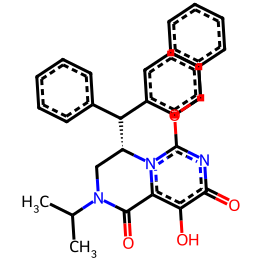 CC(C)N1C[C@H](C(c2ccccc2)c2ccccc2)n2c(OCc3ccccc3)nc(=O)c(O)c2C1=O